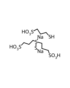 O=S(=O)(O)CCCS.O=S(=O)(O)CCC[S]([Na])(CCCS(=O)(=O)O)[S][Na]